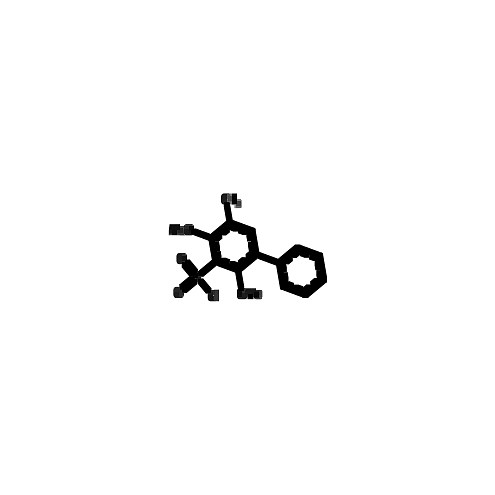 COc1c(C)cc(-c2ccccc2)c(OC)c1S(=O)(=O)Cl